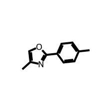 Cc1ccc(-c2nc(C)co2)cc1